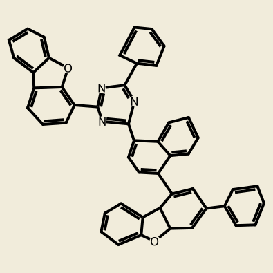 C1=C(c2ccccc2)C=C(c2ccc(-c3nc(-c4ccccc4)nc(-c4cccc5c4oc4ccccc45)n3)c3ccccc23)C2c3ccccc3OC12